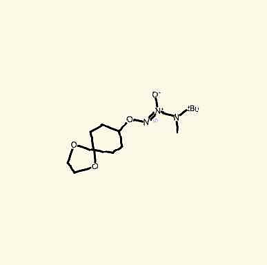 CN(/[N+]([O-])=N/OC1CCC2(CC1)OCCO2)C(C)(C)C